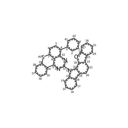 c1ccc(-c2ccc3c4c(nc(-n5c6ccccc6c6ccc7c8ccccc8oc7c65)nc24)-c2ccccc2S3)cc1